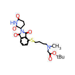 CN(CCCCSc1cccc2c1C(=O)N(C1CCC(=O)NC1=O)C2=O)CC(=O)OC(C)(C)C